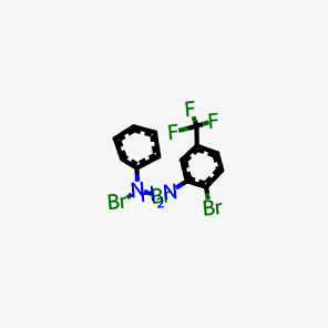 BrN(Br)c1ccccc1.Nc1cc(C(F)(F)F)ccc1Br